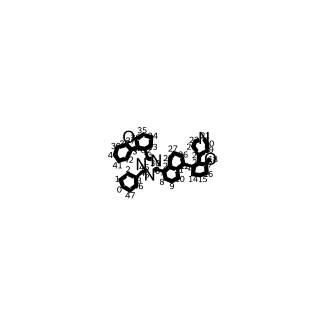 c1ccc(-c2nc(-c3cccc4c(-c5cccc6oc7cnccc7c56)cccc34)nc(-c3cccc4oc5ccccc5c34)n2)cc1